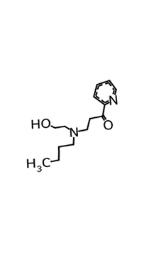 CCCCN(CCO)CCC(=O)c1ccccn1